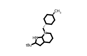 CC(C)(C)C1CC2CCCN(C[C@H]3CC[C@H](C)CC3)C2N1